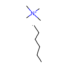 C[N+](C)(C)C.[CH2]CCCCC